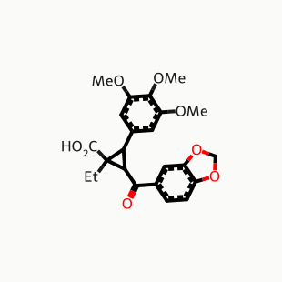 CCC1(C(=O)O)C(C(=O)c2ccc3c(c2)OCO3)C1c1cc(OC)c(OC)c(OC)c1